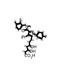 Cc1cccc(CN(C)C(=O)c2nn(-c3ccc(F)cc3)c(CCC(O)CC(O)CC(=O)O)c2C(C)C)c1F